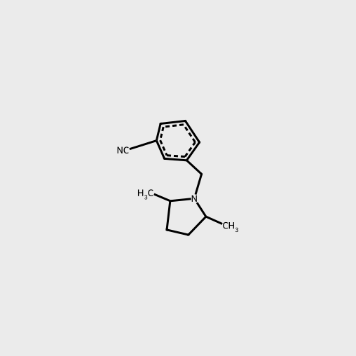 CC1CCC(C)N1Cc1cccc(C#N)c1